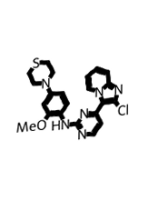 COc1cc(N2CCSCC2)ccc1Nc1nccc(-c2c(Cl)nc3ccccn23)n1